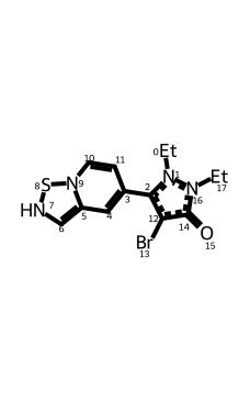 CCn1c(C2=CC3=CNSN3C=C2)c(Br)c(=O)n1CC